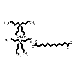 CCCC[P+](CCCC)(CCCC)CCCC.CCCC[P+](CCCC)(CCCC)CCCC.O=C([O-])CCCCCCCCCCC(=O)[O-]